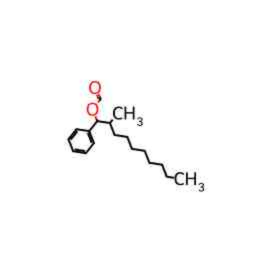 CCCCCCCCC(C)C(OC=O)c1ccccc1